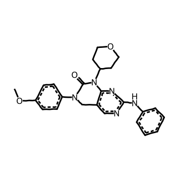 COc1ccc(N2Cc3cnc(Nc4ccccc4)nc3N(C3CCOCC3)C2=O)cc1